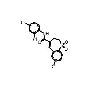 O=C(Nc1ccc(Cl)cc1Cl)C1=Cc2cc(Cl)ccc2S(=O)(=O)CC1